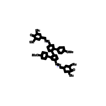 COc1ccc(-c2cc(/N=N/C=C3C=C(C(C)(C)C)C(=O)C(C(C)(C)C)=C3)ccc2-c2ccc(/N=N/C=C3C=C(C(C)(C)C)C(=O)C(C(C)(C)C)=C3)cc2-c2ccc(OC)cc2)cc1